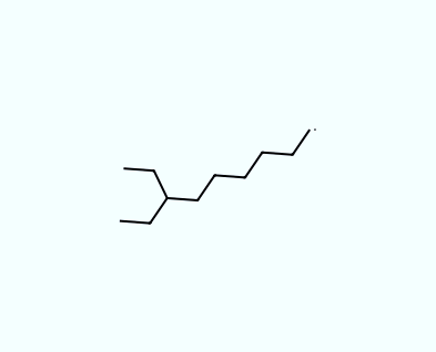 [CH2]CCCCCC(CC)CC